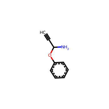 C#CC(N)Oc1ccccc1